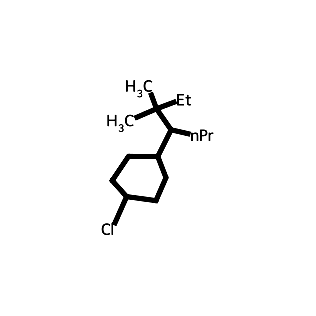 CCCC(C1CCC(Cl)CC1)C(C)(C)CC